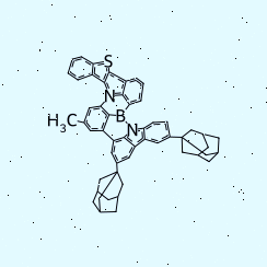 Cc1cc2c3c(c1)-n1c4c(cccc4c4sc5ccccc5c41)B3n1c3ccc(C45CC6CC(CC(C6)C4)C5)cc3c3cc(C45CC6CC(CC(C6)C4)C5)cc-2c31